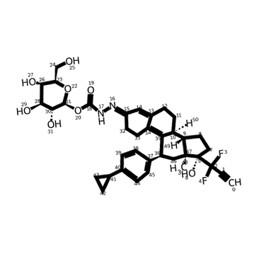 C#CC(F)(F)[C@]1(O)CC[C@H]2[C@@H]3CCC4=C/C(=N/NC(=O)O[C@@H]5O[C@H](CO)[C@H](O)[C@H](O)[C@H]5O)CCC4=C3[C@H](c3ccc(C4CC4)cc3)C[C@@]21C